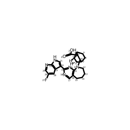 O=C(O)[C@@H]1C2CCC(CC2)[C@H]1N1CCCCc2cnc(-c3c[nH]c4ncc(F)cc34)nc21